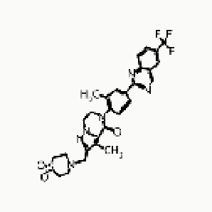 Cc1cc(-c2ncc3cc(C(F)(F)F)ccc3n2)ccc1N1CCn2nc(CN3CCS(=O)(=O)CC3)c(C)c2C1=O